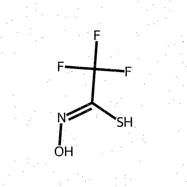 ON=C(S)C(F)(F)F